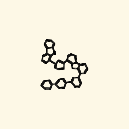 c1ccc(-c2ccc(-c3cccc(-c4cccc5c4Cc4c(-c6cccc(-c7cccc8c7sc7ccccc78)c6)cccc4-5)c3)cc2)cc1